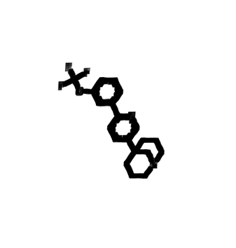 FC(F)(F)Oc1cccc(-c2ccc(C34CCCN(CCC3)C4)cn2)c1